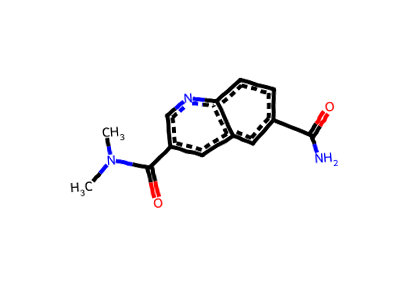 CN(C)C(=O)c1cnc2ccc(C(N)=O)cc2c1